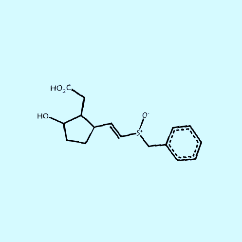 O=C(O)CC1C(O)CCC1C=C[S+]([O-])Cc1ccccc1